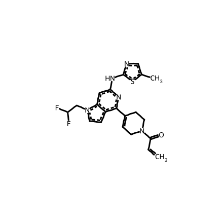 C=CC(=O)N1CC=C(c2nc(Nc3ncc(C)s3)cc3c2ccn3CC(F)F)CC1